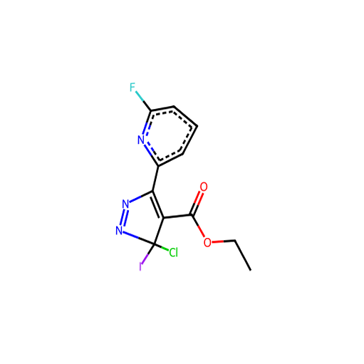 CCOC(=O)C1=C(c2cccc(F)n2)N=NC1(Cl)I